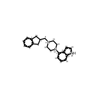 c1ccc2c(c1)CC(CN1CCN(c3cccc4[nH]ccc34)CC1)C2